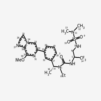 CCN(C(=O)NC(CNS(=O)(=O)N(C)C)C(F)(F)F)[C@H](C)c1cccc(-c2cn3ccnc3c(OC)n2)c1